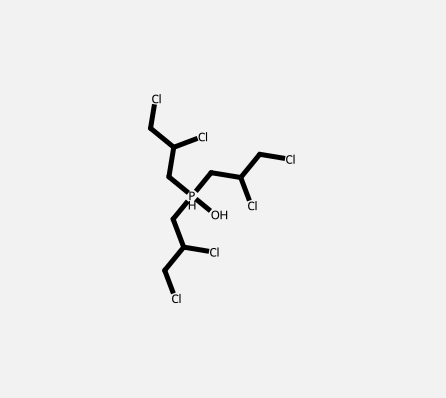 O[PH](CC(Cl)CCl)(CC(Cl)CCl)CC(Cl)CCl